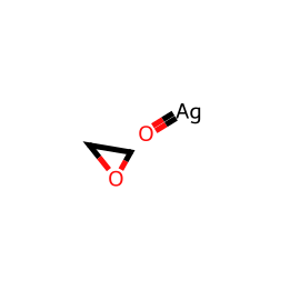 C1CO1.[O]=[Ag]